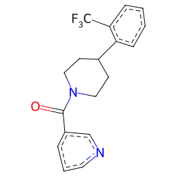 O=C(c1cccnc1)N1CCC(c2ccccc2C(F)(F)F)CC1